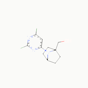 OCC12CCC(CC1)N2c1cc(Cl)nc(Cl)n1